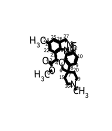 COC(=O)C(OCC1(c2ccc(F)cc2)CCN(C)CC1)c1cc(C)cc2cn[nH]c12